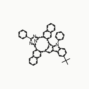 CC(C)(C)c1ccc2c(c1)c1cc3cc(c4cc5ccccc5cc4c4nc(-c5ccccc5)nc(n4)c4cc5ccccc5cc34)c1n2-c1ccccc1